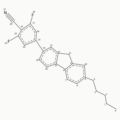 CCCCCc1ccc2c(c1)Cc1cc(-c3cc(F)c(C#N)c(F)c3)ccc1-2